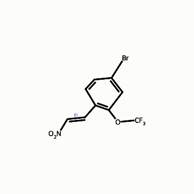 O=[N+]([O-])/C=C/c1ccc(Br)cc1OC(F)(F)F